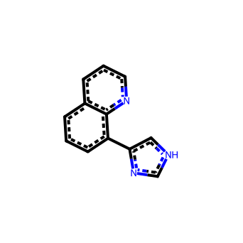 c1cnc2c(-c3c[nH]cn3)cccc2c1